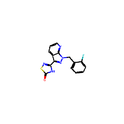 O=c1[nH]c(-c2nn(Cc3ccccc3F)c3ncccc23)ns1